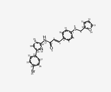 O=C(/C=C/c1ccc(SCc2ccco2)cc1)Nc1nc(-c2ccc(Br)cc2)cs1